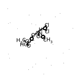 CCOC(Cc1ccc(OCCN(CCCc2cc(Cl)cc(Cl)c2)C(=O)Nc2ccc(C)cc2)cc1)C(=O)O